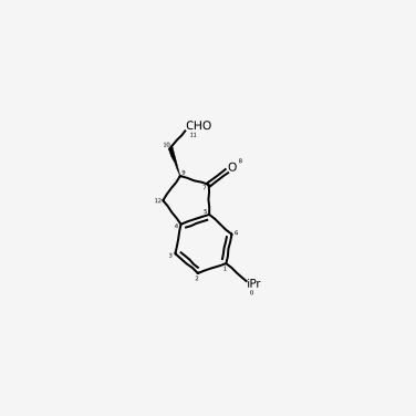 CC(C)c1ccc2c(c1)C(=O)[C@H](CC=O)C2